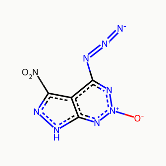 [N-]=[N+]=Nc1n[n+]([O-])nc2[nH]nc([N+](=O)[O-])c12